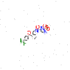 CS(=O)(=O)c1nccc(C(=O)N2CCc3c(cccc3C(=O)c3ccc(C(F)(F)F)cc3)C2)n1